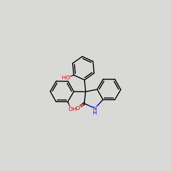 O=C1Nc2ccccc2C1(c1ccccc1O)c1ccccc1O